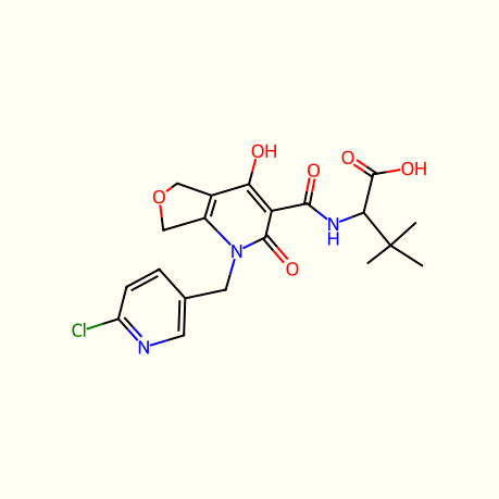 CC(C)(C)C(NC(=O)c1c(O)c2c(n(Cc3ccc(Cl)nc3)c1=O)COC2)C(=O)O